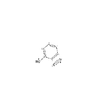 Oc1ccccc1.[C-]#[O+]